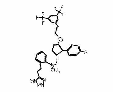 CN(C[C@@H]1CC[C@H](OCCc2cc(C(F)(F)F)cc(C(F)(F)F)c2)[C@H]1c1ccc(F)cc1)c1ccccc1CCc1nnn[nH]1